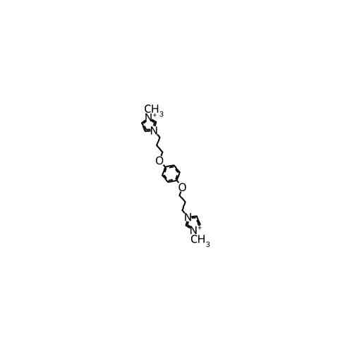 C[n+]1ccn(CCCOc2ccc(OCCCn3cc[n+](C)c3)cc2)c1